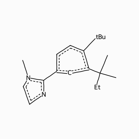 CCC(C)(C)c1cc(-c2nccn2C)ccc1C(C)(C)C